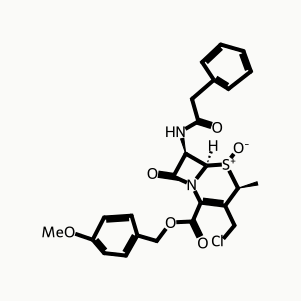 COc1ccc(COC(=O)C2=C(CCl)[C@H](C)[S+]([O-])[C@@H]3[C@H](NC(=O)Cc4ccccc4)C(=O)N23)cc1